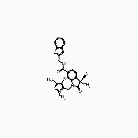 Cc1nn(C)c(CN2C(=O)C(C)(C#N)c3ccc(C(=O)NCc4cc5ccccc5o4)cc32)c1Br